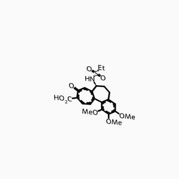 CCS(=O)(=O)N[C@H]1CCc2cc(OC)c(OC)c(OC)c2-c2ccc(C(=O)O)c(=O)cc21